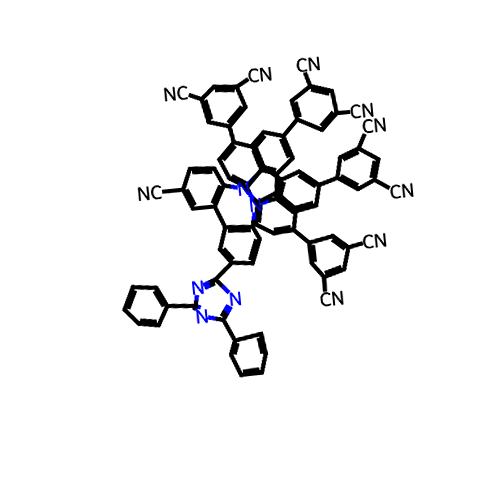 N#Cc1cc(C#N)cc(-c2ccc3c(c2)c2cc(-c4cc(C#N)cc(C#N)c4)ccc2n3-c2ccc(C#N)cc2-c2cc(-c3nc(-c4ccccc4)nc(-c4ccccc4)n3)ccc2-n2c3ccc(-c4cc(C#N)cc(C#N)c4)cc3c3cc(-c4cc(C#N)cc(C#N)c4)ccc32)c1